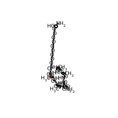 Cn1cc(-c2c(NC(=O)CCNC(=O)c3cc(NC(=O)c4nccn4C)cn3C)nc(C(N)=O)n2C)cc1C(=O)NCCC(=O)Nc1cn(C)c(C(=O)NCCC(=O)NCCOCCOCCOCCOCCOCCOCCOCCOCCOc2ccc(N)cc2O)n1